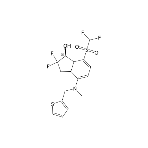 CN(Cc1cccs1)C1=CC=C(S(=O)(=O)C(F)F)C2C1CC(F)(F)[C@H]2O